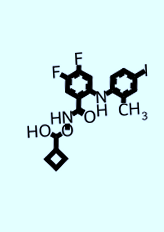 Cc1cc(I)ccc1Nc1cc(F)c(F)cc1C(=O)NOC(O)C1CCC1